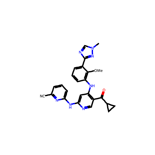 COc1c(Nc2cc(Nc3cccc(C#N)n3)ncc2C(=O)C2CC2)cccc1-c1ncn(C)n1